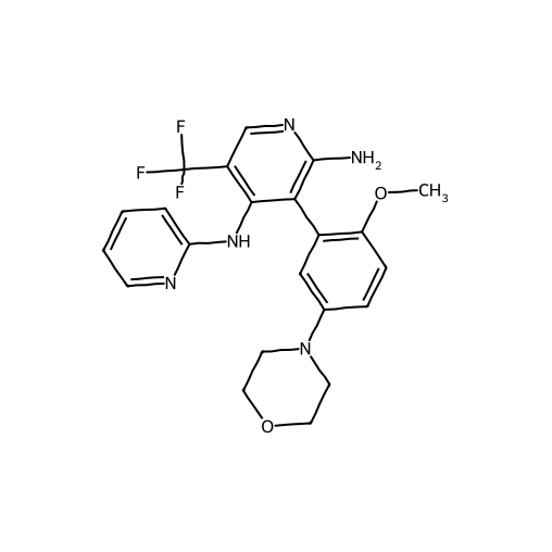 COc1ccc(N2CCOCC2)cc1-c1c(N)ncc(C(F)(F)F)c1Nc1ccccn1